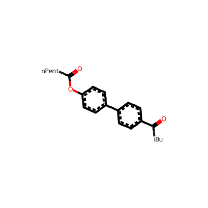 CCCCCC(=O)Oc1ccc(-c2ccc(C(=O)C(C)CC)cc2)cc1